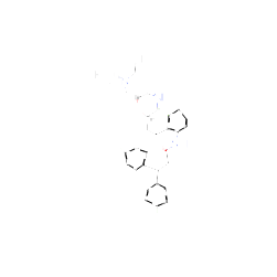 O=C(CC(c1ccc(F)cc1)c1ccc(F)cc1)Nc1cccc(F)c1CC[C@@H]1CNC[C@@H](CN(CC(F)(F)F)C(=O)O)O1